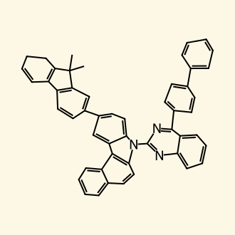 CC1(C)C2=C(C=CCC2)c2ccc(-c3ccc4c(c3)c3c5ccccc5ccc3n4-c3nc(-c4ccc(-c5ccccc5)cc4)c4ccccc4n3)cc21